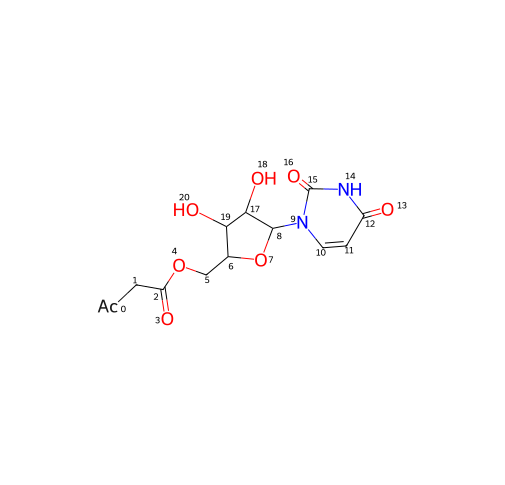 CC(=O)CC(=O)OCC1OC(n2ccc(=O)[nH]c2=O)C(O)C1O